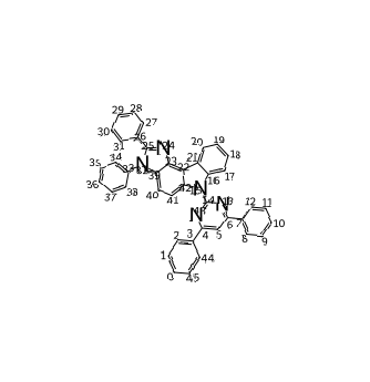 c1ccc(-c2cc(-c3ccccc3)nc(-n3c4ccccc4c4c5nc(-c6ccccc6)n(-c6ccccc6)c5ccc43)n2)cc1